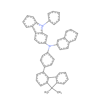 CC1(C)c2ccccc2-c2c(-c3ccc(N(c4ccc5ccccc5c4)c4ccc5c6ccccc6n(-c6ccccc6)c5c4)cc3)cccc21